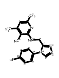 N#Cc1c(C(F)(F)F)cc(C(F)(F)F)nc1NCc1nncn1-c1ccc(F)cc1